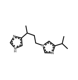 CC(C)c1cn(CCC(C)c2c[nH]cn2)cn1